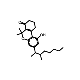 CCCCCC(C)C(C)c1cc(O)c2c(c1)OC(C)(C)C1=C2CCCC1=O